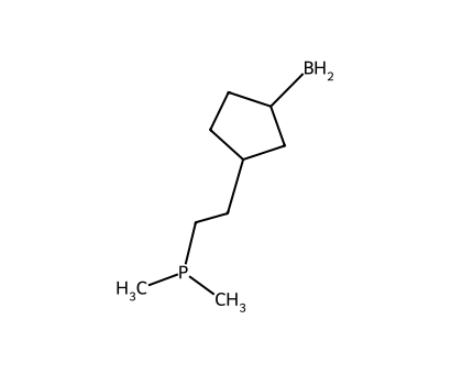 BC1CCC(CCP(C)C)C1